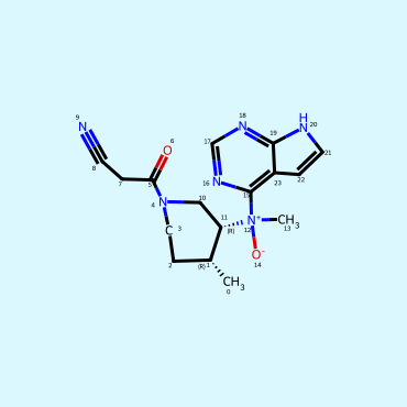 C[C@@H]1CCN(C(=O)CC#N)C[C@@H]1[N+](C)([O-])c1ncnc2[nH]ccc12